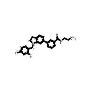 NCCNC(=O)c1cccc(-c2ccc3c(c2)N(Cc2ccc(Cl)cc2Cl)CC3)c1